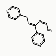 N/C=N\C(=N/Cc1ccncc1)c1ccncc1